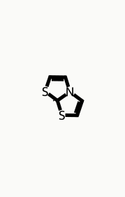 C1=CN2C=CS[C]2S1